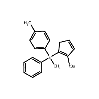 Cc1ccc([Si](C)(C2=C(C(C)(C)C)C=CC2)c2ccccc2)cc1